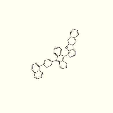 C1=CC2=CC3c4cccc(-c5c6ccccc6c(C6=CC=C(C7=CC=CC8C=CC=CC78)CC6)c6ccccc56)c4OC3CC2C=C1